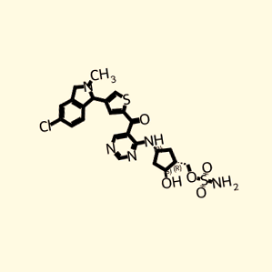 CN1Cc2cc(Cl)ccc2C1c1csc(C(=O)c2cncnc2N[C@@H]2C[C@H](COS(N)(=O)=O)[C@@H](O)C2)c1